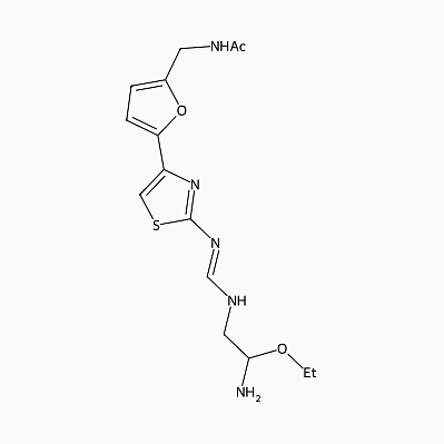 CCOC(N)CNC=Nc1nc(-c2ccc(CNC(C)=O)o2)cs1